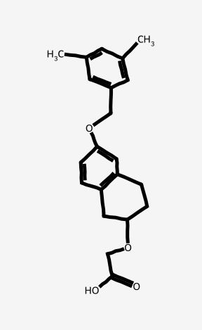 Cc1cc(C)cc(COc2ccc3c(c2)CCC(OCC(=O)O)C3)c1